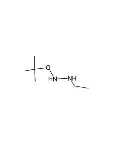 CCNNOC(C)(C)C